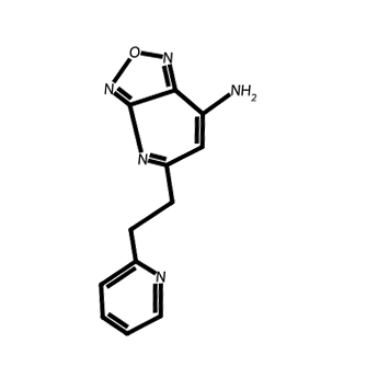 Nc1cc(CCc2ccccn2)nc2nonc12